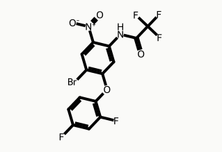 O=C(Nc1cc(Oc2ccc(F)cc2F)c(Br)cc1[N+](=O)[O-])C(F)(F)F